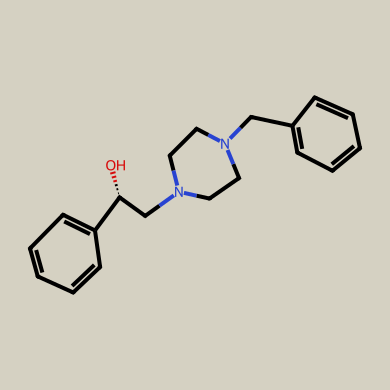 O[C@H](CN1CCN(Cc2ccccc2)CC1)c1ccccc1